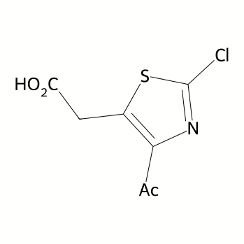 CC(=O)c1nc(Cl)sc1CC(=O)O